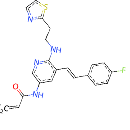 C=CC(=O)Nc1cnc(NCCc2nccs2)c(/C=C/c2ccc(F)cc2)c1